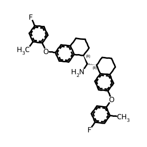 Cc1cc(F)ccc1Oc1ccc2c(c1)CCC[C@H]2C(N)[C@@H]1CCCc2cc(Oc3ccc(F)cc3C)ccc21